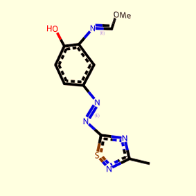 CO/C=N/c1cc(/N=N/c2nc(C)ns2)ccc1O